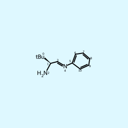 CC(C)(C)[C@H](N)/C=N/c1ccccc1